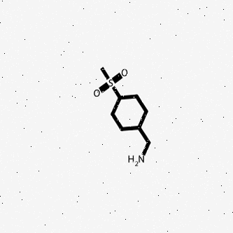 CS(=O)(=O)C1CCC(CN)CC1